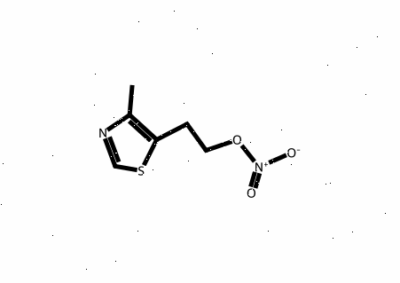 Cc1ncsc1CCO[N+](=O)[O-]